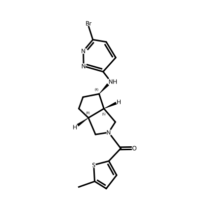 Cc1ccc(C(=O)N2C[C@@H]3CC[C@@H](Nc4ccc(Br)nn4)[C@@H]3C2)s1